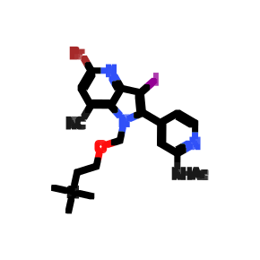 CC(=O)Nc1cc(-c2c(I)c3nc(Br)cc(C#N)c3n2COCC[Si](C)(C)C)ccn1